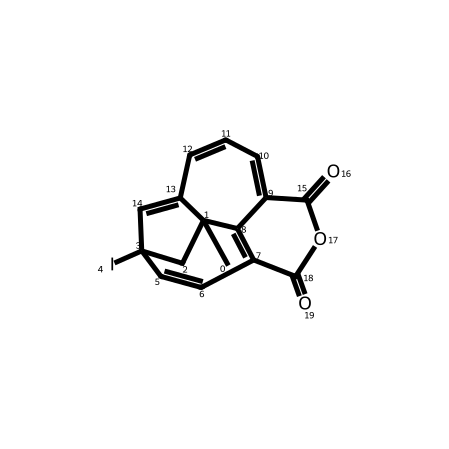 CC12CC3(I)C=CC4=C1C(=CC=CC2=C3)C(=O)OC4=O